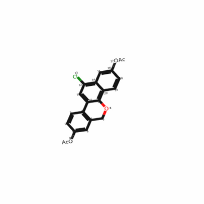 CC(=O)Oc1ccc2c(c1)COc1c-2cc(Cl)c2cc(OC(C)=O)ccc12